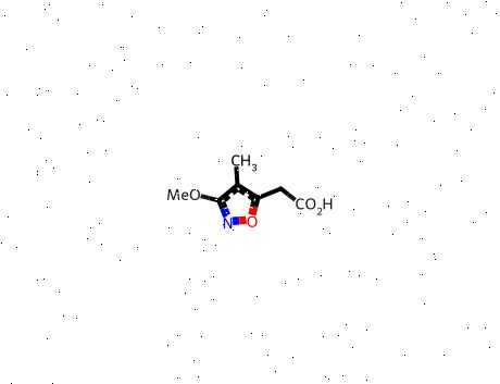 COc1noc(CC(=O)O)c1C